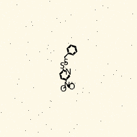 O=[N+]([O-])c1ccc(SSCc2ccccc2)nc1